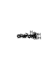 CCC1(c2cccc(NC(=O)CC(O)(CC(=O)O)C(=O)O)c2)C2CN(CCCC3(O)CCCCC3)CC21